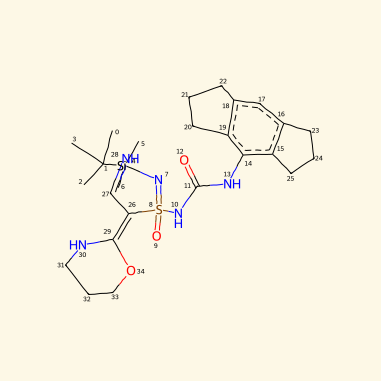 CC(C)(C)[Si](C)(C)N=S(=O)(NC(=O)Nc1c2c(cc3c1CCC3)CCC2)/C(C=N)=C1/NCCCO1